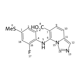 CSc1ccc(Nc2c(C(=O)O)ccc3cncn23)c(F)c1